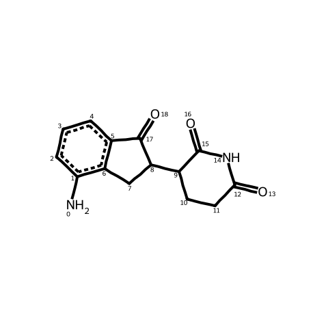 Nc1cccc2c1CC(C1CCC(=O)NC1=O)C2=O